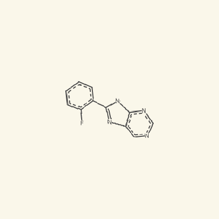 Fc1ccccc1C1=Nc2cncnc2[N]1